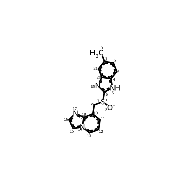 Cc1ccc2[nH]c([S+]([O-])Cc3cccn4ccnc34)nc2c1